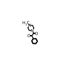 CN1CCN(C(=O)C(=O)c2ccccc2)CC1